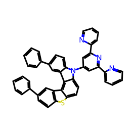 c1ccc(-c2ccc3sc4ccc5c(c6cc(-c7ccccc7)ccc6n5-c5cc(-c6ccccn6)nc(-c6ccccn6)c5)c4c3c2)cc1